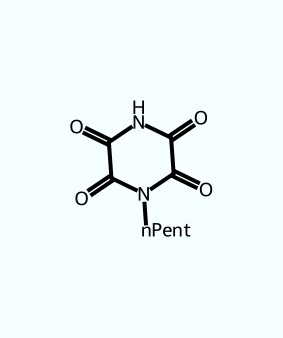 CCCCCN1C(=O)C(=O)NC(=O)C1=O